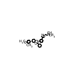 COc1ccc([C@H]2CC[C@H](CN(C(=O)C3CCCCC3)c3cccc(-c4cnn(CCN(C)C)c4)c3)CC2)cc1C